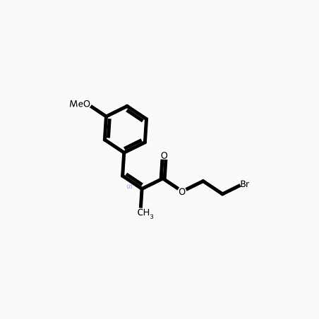 COc1cccc(/C=C(/C)C(=O)OCCBr)c1